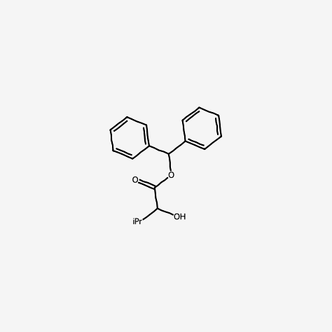 CC(C)C(O)C(=O)OC(c1ccccc1)c1ccccc1